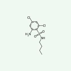 CCCCNS(=O)(=O)c1c(N)cc(Cl)cc1Cl